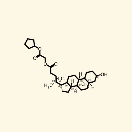 C[C@H](CCC(=O)OCC(=O)OC1CCCC1)[C@H]1CC[C@H]2[C@@H]3CC[C@@H]4C[C@H](O)CC[C@]4(C)[C@H]3CC[C@]12C